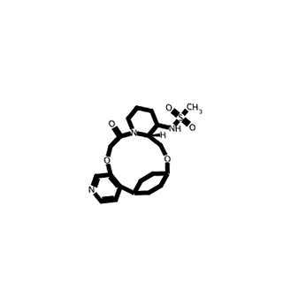 CS(=O)(=O)NC1CCCN2C(=O)COc3cnccc3C3CCC(CC3)OC[C@@H]12